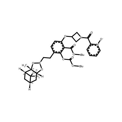 CC(C)(C)OC(=O)Oc1c(CCB2O[C@@H]3C[C@@H]4C[C@@H](C4(C)C)[C@]3(C)O2)ccc(OC2CN(C(=O)c3cccc[n+]3[O-])C2)c1C(=O)OC(C)(C)C